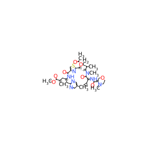 C=C(C)[C@@H](C[C@@H](OC(C)=O)c1nc(C(=O)N[C@@H](Cc2ncc(C)cn2)C[C@H](C)C(=O)OC)cs1)N(C)C(=O)[C@@H](NC(=O)[C@H]1COCCN1C)C1CC1